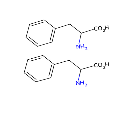 NC(Cc1ccccc1)C(=O)O.NC(Cc1ccccc1)C(=O)O